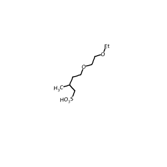 CCOCCOCCC(C)CS(=O)(=O)O